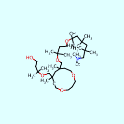 CCN(C)CC(C)(C)CC(C)(C)CC(C)(C)OCCC(C)(C)OCC1(C)CCOCCCOCCC(C)(COC(C)(C)CCO)C1